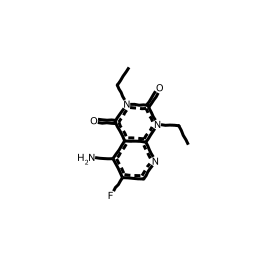 CCn1c(=O)c2c(N)c(F)cnc2n(CC)c1=O